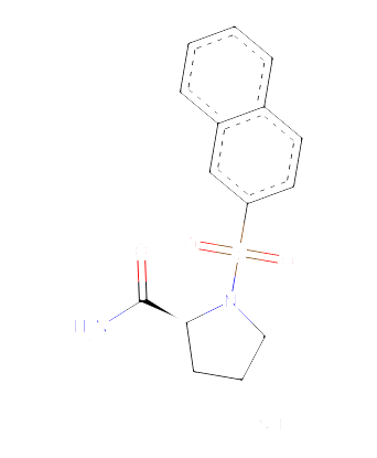 NC(=O)[C@@H]1C[C@@H](S)CN1S(=O)(=O)c1ccc2ccccc2c1